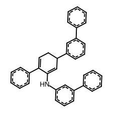 C1=C(Nc2cccc(-c3ccccc3)c2)C(c2ccccc2)=CCC1c1cccc(-c2ccccc2)c1